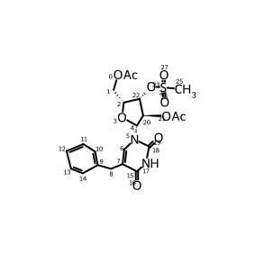 CC(=O)OC[C@H]1O[C@@H](n2cc(Cc3ccccc3)c(=O)[nH]c2=O)[C@H](OC(C)=O)[C@H]1OS(C)(=O)=O